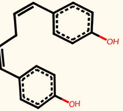 Oc1ccc(/C=C\C/C=C\c2ccc(O)cc2)cc1